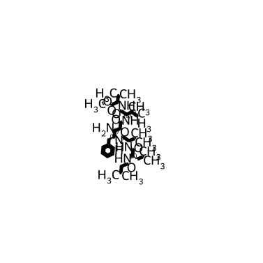 CC[C@H](C)[C@H](NC(=O)C[C@H](N)[C@H](Cc1ccccc1)NC(=O)C(NC(=O)[C@H](CC(C)C)NC(=O)CC(C)C)C(C)C)C(=O)NC(C(=O)OC)C(C)C